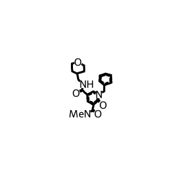 CNC(=O)c1cc(C(=O)NCC2CCOCC2)cn(Cc2ccccc2)c1=O